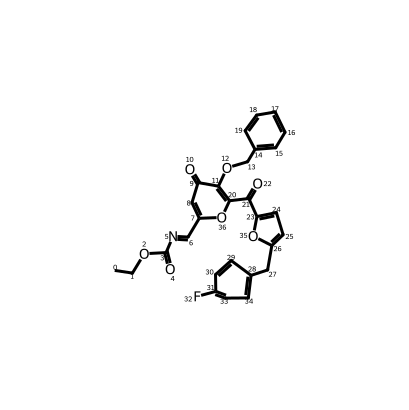 CCOC(=O)/N=C/c1cc(=O)c(OCc2ccccc2)c(C(=O)c2ccc(Cc3ccc(F)cc3)o2)o1